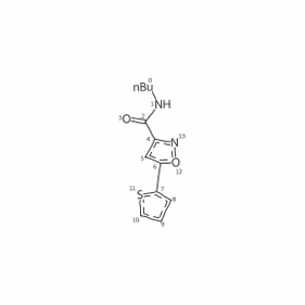 CCCCNC(=O)c1cc(-c2cccs2)on1